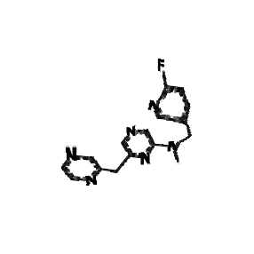 CN(Cc1ccc(F)nc1)c1cncc(Cc2cnccn2)n1